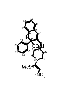 CSC(=C[N+](=O)[O-])N1CCN(CC2=Cc3ccccc3NC2(C(=O)O)c2ccccc2)CC1